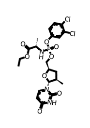 CCOC(=O)[C@H](C)NP(=O)(OC[C@H]1C[C@@H](C)[C@H](n2ccc(=O)[nH]c2=O)O1)Oc1ccc(Cl)c(Cl)c1